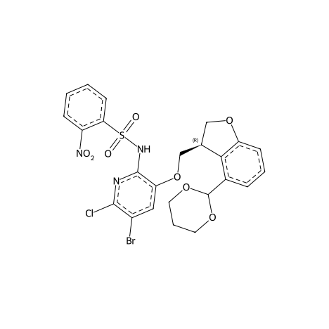 O=[N+]([O-])c1ccccc1S(=O)(=O)Nc1nc(Cl)c(Br)cc1OC[C@H]1COc2cccc(C3OCCCO3)c21